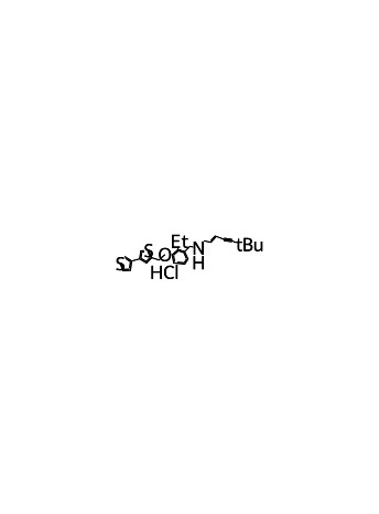 CCc1c(CNCC=CC#CC(C)(C)C)cccc1OCc1cc(-c2ccsc2)cs1.Cl